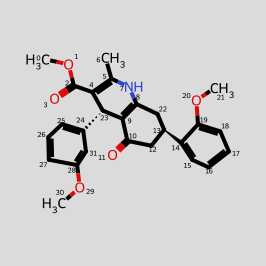 COC(=O)C1=C(C)NC2=C(C(=O)C[C@H](c3ccccc3OC)C2)[C@@H]1c1cccc(OC)c1